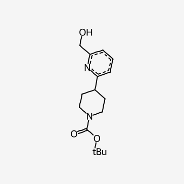 CC(C)(C)OC(=O)N1CCC(c2cccc(CO)n2)CC1